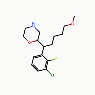 COCCCCC(c1cccc(Cl)c1F)C1CNCCO1